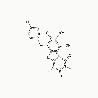 CCCc1c(O)n2c3c(=O)n(C)c(=O)n(C)c3nc2n(Cc2ccc(Cl)cc2)c1=O